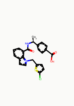 C[C@H](NC(=O)c1cccc2ccn(Cc3ccc(Cl)s3)c12)c1ccc(C(=O)O)cc1